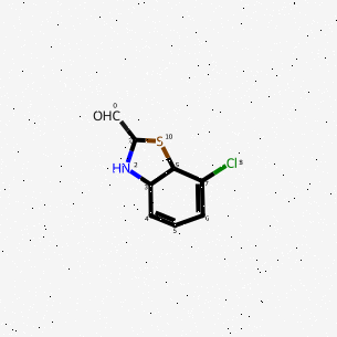 O=CC1NC2C=CC=C(Cl)C2S1